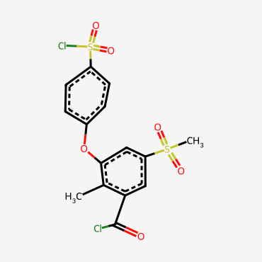 Cc1c(Oc2ccc(S(=O)(=O)Cl)cc2)cc(S(C)(=O)=O)cc1C(=O)Cl